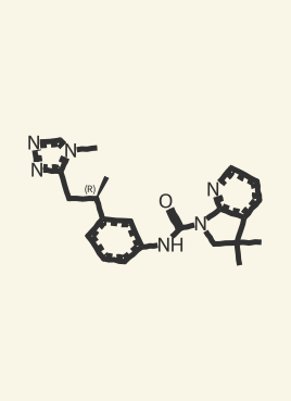 C[C@H](Cc1nncn1C)c1cccc(NC(=O)N2CC(C)(C)c3cccnc32)c1